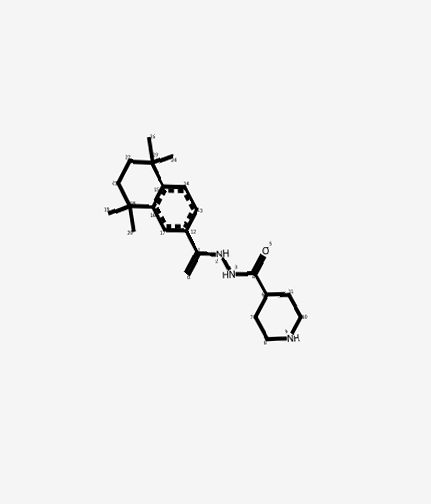 C=C(NNC(=O)C1CCNCC1)c1ccc2c(c1)C(C)(C)CCC2(C)C